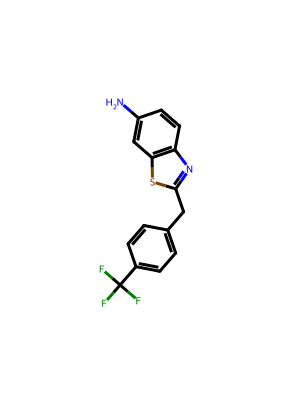 Nc1ccc2nc(Cc3ccc(C(F)(F)F)cc3)sc2c1